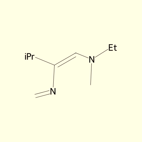 C=N/C(=C\N(C)CC)C(C)C